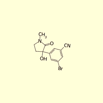 CN1CCC(O)(c2cc(Br)cc(C#N)c2)C1=O